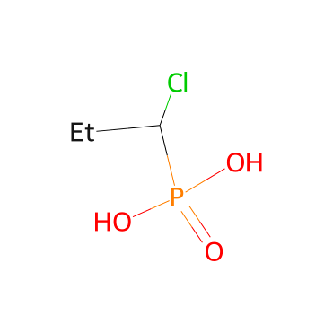 CCC(Cl)P(=O)(O)O